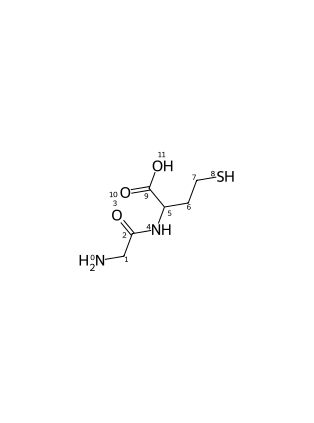 NCC(=O)NC(CCS)C(=O)O